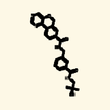 CC(C)(O)CNC(=O)c1cccc(CNC(=O)c2ccc3c(c2)COc2cncnc2-3)c1